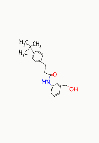 CC(C)(C)c1ccc(CCC(=O)Nc2cccc(CO)c2)cc1